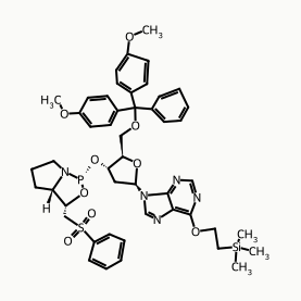 COc1ccc(C(OC[C@H]2O[C@@H](n3cnc4c(OCC[Si](C)(C)C)ncnc43)C[C@@H]2O[P@]2O[C@H](CS(=O)(=O)c3ccccc3)[C@@H]3CCCN32)(c2ccccc2)c2ccc(OC)cc2)cc1